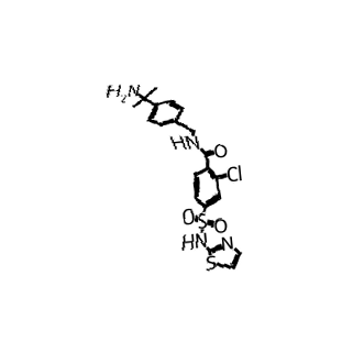 CC(C)(N)c1ccc(CNC(=O)c2ccc(S(=O)(=O)Nc3nccs3)cc2Cl)cc1